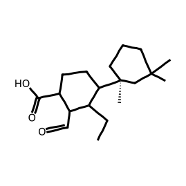 CCC1C(C=O)C(C(=O)O)CCC1[C@@]1(C)CCCC(C)(C)C1